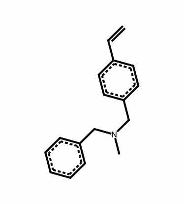 C=Cc1ccc(CN(C)Cc2ccccc2)cc1